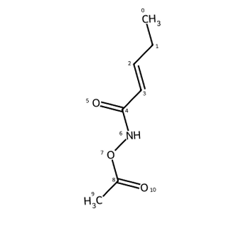 CCC=CC(=O)NOC(C)=O